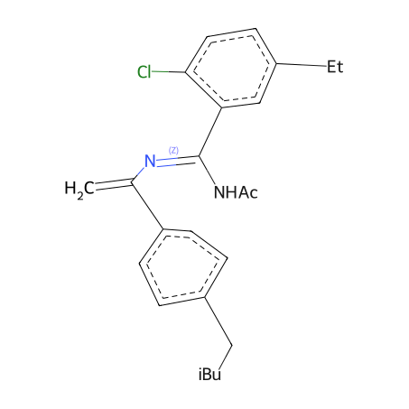 C=C(/N=C(\NC(C)=O)c1cc(CC)ccc1Cl)c1ccc(CC(C)CC)cc1